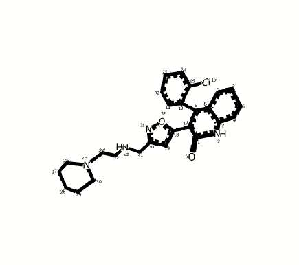 O=c1[nH]c2ccccc2c(-c2ccccc2Cl)c1-c1cc(CNCCN2CCCCC2)no1